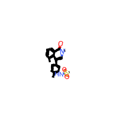 Cc1ccc(-c2cn(C)c(=O)c3cccc(C)c23)cc1NS(C)(=O)=O